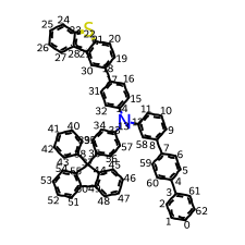 c1ccc(-c2ccc(-c3cccc(N(c4ccc(-c5ccc6sc7ccccc7c6c5)cc4)c4ccc(C5(c6ccccc6)c6ccccc6-c6ccccc65)cc4)c3)cc2)cc1